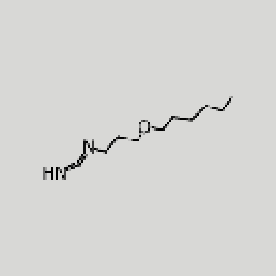 CCCCCCOCCCN=C=N